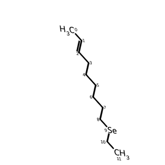 CC=CCCCCCC[Se]CC